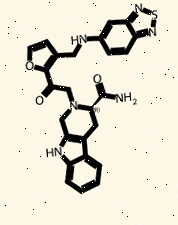 NC(=O)[C@H]1Cc2c([nH]c3ccccc23)CN1CC(=O)c1occc1CNc1ccc2nsnc2c1